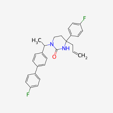 C=CCC1(c2ccc(F)cc2)CCN(C(C)c2ccc(-c3ccc(F)cc3)cc2)C(=O)N1